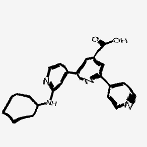 O=C(O)c1cc(-c2ccncc2)nc(-c2ccnc(NC3CCCCC3)c2)c1